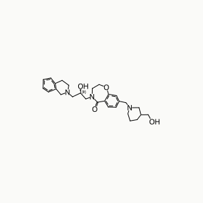 O=C1c2ccc(CN3CCCC(CO)C3)cc2OCCN1C[C@H](O)CN1CCc2ccccc2C1